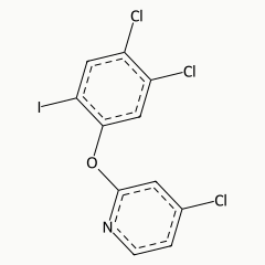 Clc1ccnc(Oc2cc(Cl)c(Cl)cc2I)c1